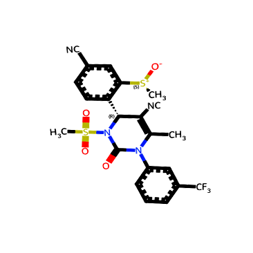 [C-]#[N+]C1=C(C)N(c2cccc(C(F)(F)F)c2)C(=O)N(S(C)(=O)=O)[C@@H]1c1ccc(C#N)cc1[S@@+](C)[O-]